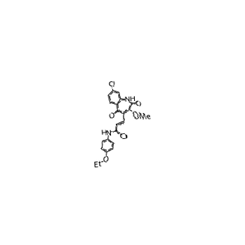 CCOc1ccc(NC(=O)C=Cc2c(OC)c(=O)[nH]c3cc(Cl)ccc3c2=O)cc1